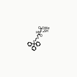 COC(=O)[C@H](CS)NC(=O)CSCCSC(c1ccccc1)(c1ccccc1)c1ccccc1